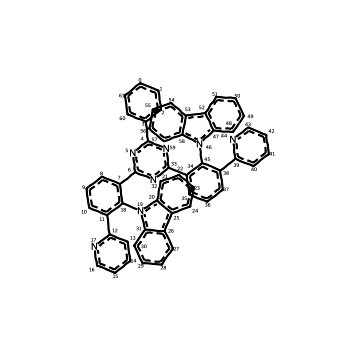 c1ccc(-c2nc(-c3cccc(-c4ccccn4)c3-n3c4ccccc4c4ccccc43)nc(-c3cccc(-c4ccccn4)c3-n3c4ccccc4c4ccccc43)n2)cc1